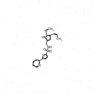 C=Nc1[nH]c(CNS(=O)(=O)c2ccc(-c3ccccn3)s2)cc1/C=C\C